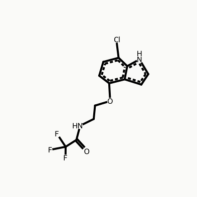 O=C(NCCOc1ccc(Cl)c2[nH]ccc12)C(F)(F)F